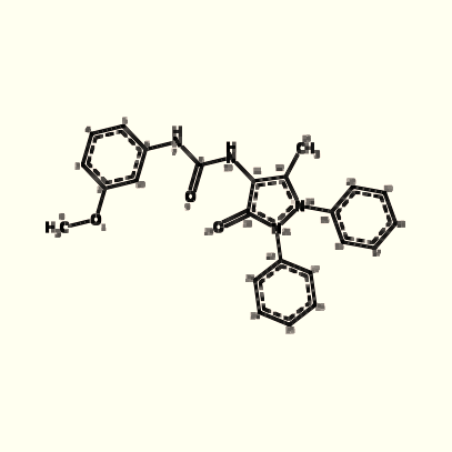 COc1cccc(NC(=O)Nc2c(C)n(-c3ccccc3)n(-c3ccccc3)c2=O)c1